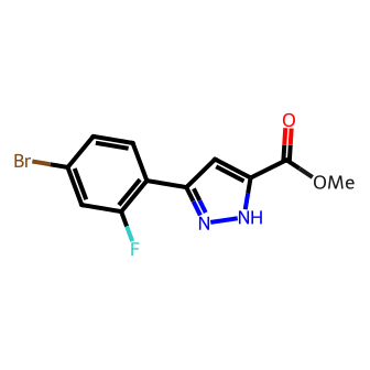 COC(=O)c1cc(-c2ccc(Br)cc2F)n[nH]1